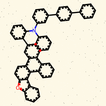 c1ccc(-c2ccc(-c3cccc(N(c4ccccc4)c4ccccc4-c4ccc5c6ccccc6c6c(ccc7oc8ccccc8c76)c5c4)c3)cc2)cc1